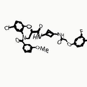 COc1cccc(C(=O)N2CC(C(=O)NC34CC(NC(=O)COc5ccc(Cl)c(F)c5)(C3)C4)Oc3ccc(Cl)cc32)c1